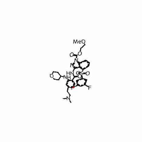 COCCOC(=O)n1nc(NC(=O)c2ccc(CCN(C)C)cc2NC2CCOCC2)c2c(S(=O)(=O)c3cc(F)cc(F)c3)cccc21